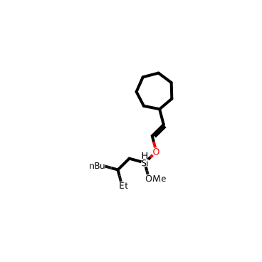 CCCCC(CC)C[SiH](OC)OC=CC1CCCCCC1